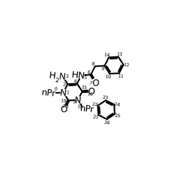 CCCn1c(N)c(NC(=O)Cc2ccccc2)c(=O)n(CCC)c1=O.[c]1ccccc1